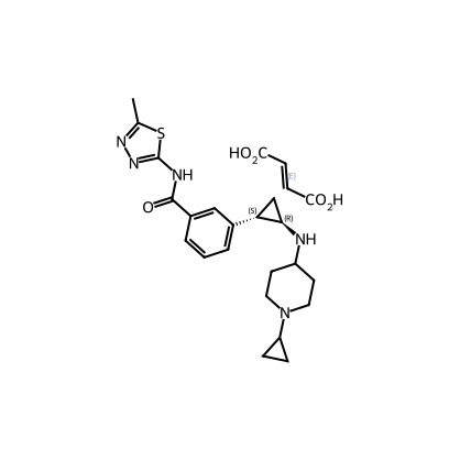 Cc1nnc(NC(=O)c2cccc([C@@H]3C[C@H]3NC3CCN(C4CC4)CC3)c2)s1.O=C(O)/C=C/C(=O)O